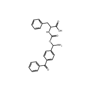 NC(OC(=O)NC(Cc1ccccc1)C(=O)O)c1ccc(C(=O)c2ccccc2)cc1